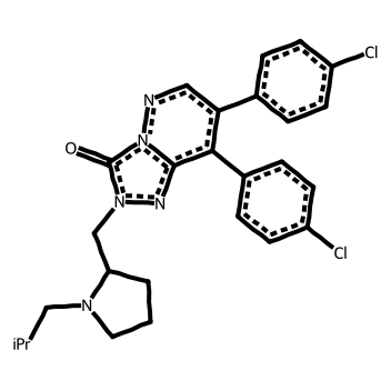 CC(C)CN1CCCC1Cn1nc2c(-c3ccc(Cl)cc3)c(-c3ccc(Cl)cc3)cnn2c1=O